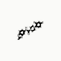 Cc1nc2cc(NC(=O)N3CCN(c4ccc(F)cc4F)CC3)ccc2s1